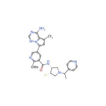 COc1ncc(-c2cc(C(F)(F)F)c3c(N)ncnn23)cc1C(=O)N[C@@H]1CN(C(C)c2ccncc2)C[C@@H]1F